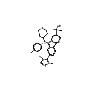 Cc1nnn(C)c1-c1ccc2c3ncc(C(C)(C)O)cc3n([C@H](c3ccc(F)cc3)C3CCOCC3)c2c1